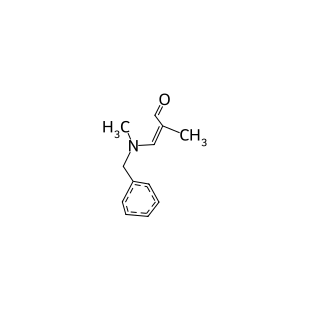 CC(C=O)=CN(C)Cc1ccccc1